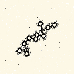 c1ccc(C2=NC(c3ccccc3-c3cccc4c(-c5cccc(-c6cccc(-c7nc8ccccc8n7-c7ccccc7)c6)c5)cccc34)N2c2ccc(-c3ccccc3)cc2)cc1